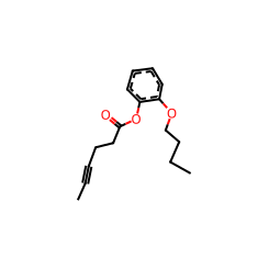 CC#CCCC(=O)Oc1ccccc1OCCCC